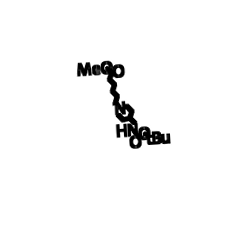 COC(=O)CCCCCN1CCC(CNC(=O)OC(C)(C)C)CC1